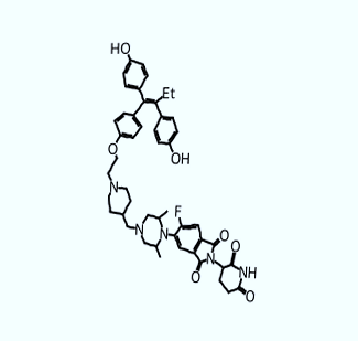 CCC(=C(c1ccc(O)cc1)c1ccc(OCCN2CCC(CN3CC(C)N(c4cc5c(cc4F)C(=O)N(C4CCC(=O)NC4=O)C5=O)C(C)C3)CC2)cc1)c1ccc(O)cc1